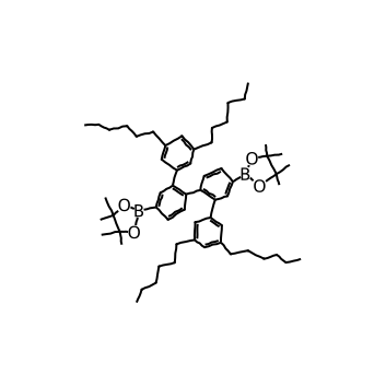 CCCCCCc1cc(CCCCCC)cc(-c2cc(B3OC(C)(C)C(C)(C)O3)ccc2-c2ccc(B3OC(C)(C)C(C)(C)O3)cc2-c2cc(CCCCCC)cc(CCCCCC)c2)c1